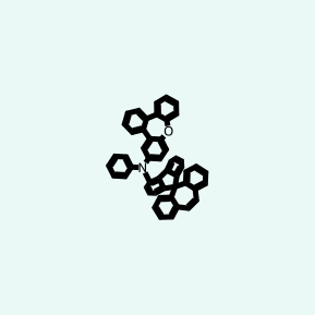 C1=Cc2ccccc2C2(c3ccccc31)c1ccccc1-c1c(N(c3ccccc3)c3ccc4c(c3)-c3ccccc3-c3ccccc3O4)cccc12